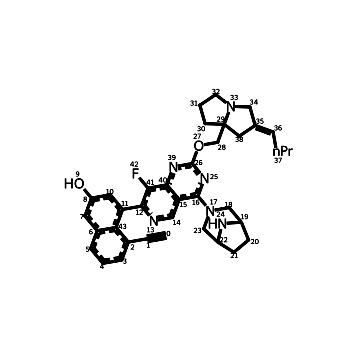 C#Cc1cccc2cc(O)cc(-c3ncc4c(N5CC6CCC(C5)N6)nc(OCC56CCCN5CC(=CCCC)C6)nc4c3F)c12